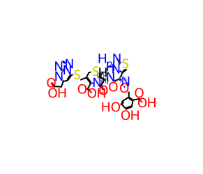 Nc1nc(/C(=N/OCc2cc(O)c(O)cc2C(=O)O)C(=O)N[C@@H]2C(=O)N3C(C(=O)O)=C(CSc4cc(CC(=O)O)nc5ncnn45)CS[C@H]23)cs1